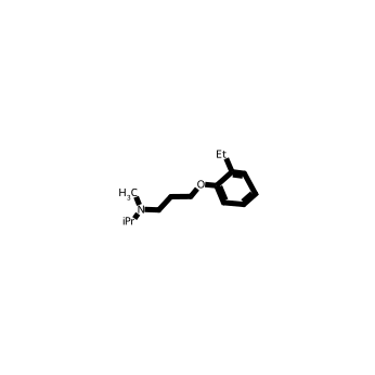 CCc1ccccc1OCCCN(C)C(C)C